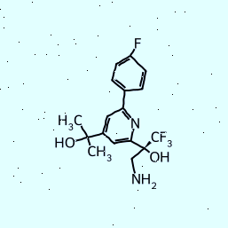 CC(C)(O)c1cc(-c2ccc(F)cc2)nc([C@](O)(CN)C(F)(F)F)c1